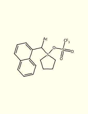 CC(=O)C(c1cccc2ccccc12)S1(OS(=O)(=O)C(F)(F)F)CCCC1